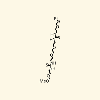 CCOCOCCNC(=S)NCCOCCOCCNC(=S)NCCOCOC